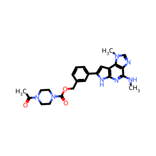 CNc1nc2[nH]c(-c3cccc(COC(=O)N4CCN(C(C)=O)CC4)c3)cc2c2c1ncn2C